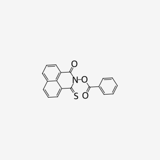 O=C(ON1C(=O)c2cccc3cccc(c23)C1=S)c1ccccc1